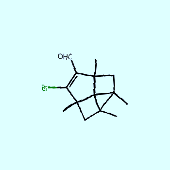 CC12CC3(C)C4(C)CC(C)(C(C=O)=C1Br)C234